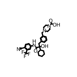 N#Cc1ccc(NC(=O)C(O)(Cc2cccc(CN3CCN(C(=O)O)CC3)c2)C2CCCCC2)cc1C(F)(F)F